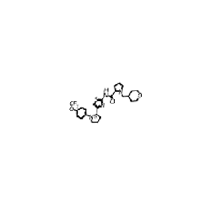 O=C(Nc1nc([C@H]2CCCN2c2ccc(OC(F)(F)F)cc2)cs1)c1cccn1CC1CCOCC1